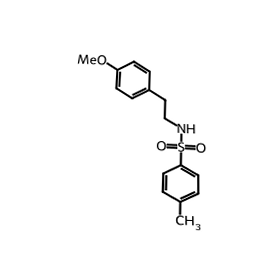 COc1ccc(CCNS(=O)(=O)c2ccc(C)cc2)cc1